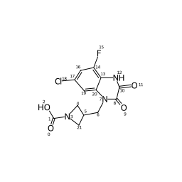 O=C(O)N1CC(Cn2c(=O)c(=O)[nH]c3c(F)cc(Cl)cc32)C1